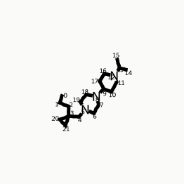 CCCC1(CN2CCN(C3CCN(C(C)C)CC3)CC2)CC1